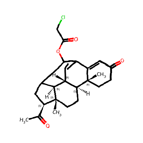 CC(=O)[C@H]1CC2C(OC(=O)CCl)C3=C[C@H]4[C@H]2[C@]1(C)CC[C@@H]4[C@@]1(C)CCC(=O)C=C31